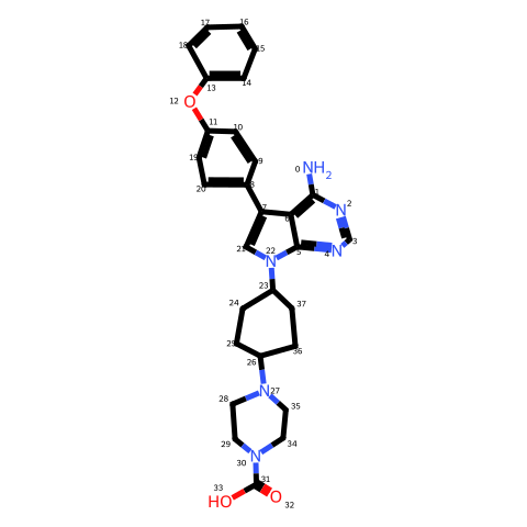 Nc1ncnc2c1c(-c1ccc(Oc3ccccc3)cc1)cn2C1CCC(N2CCN(C(=O)O)CC2)CC1